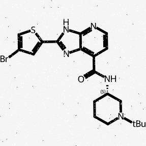 CC(C)(C)N1CCC[C@H](NC(=O)c2ccnc3[nH]c(-c4cc(Br)cs4)nc23)C1